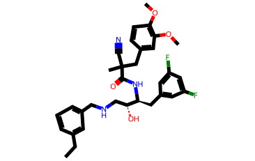 CCc1cccc(CNC[C@@H](O)[C@H](Cc2cc(F)cc(F)c2)NC(=O)C(C)(C#N)Cc2ccc(OC)c(OC)c2)c1